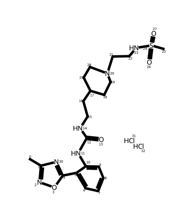 Cc1noc(-c2ccccc2NC(=O)NCCC2CCN(CCNS(C)(=O)=O)CC2)n1.Cl.Cl